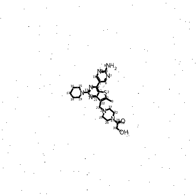 Cc1sc2c(-c3cnc(N)nc3)nc(N3CCCCC3)nc2c1CN1CCN(C(=O)CO)CC1